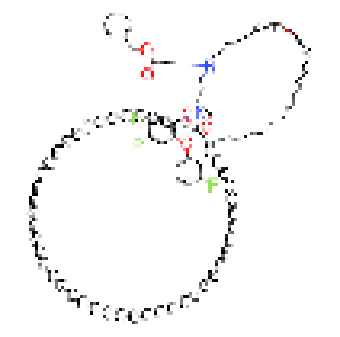 O=C(OCc1ccccc1)N1CCCCCCCCCCCCCCCCCCCCCCCCCCCCCCCCCCCCCCCCC2(CCCCCCCCCCCCCCCCCCCCCCCCCCCCCCCCCCCCCCCCCCCCCC23OCCO3)CN(c2cc(F)c(F)cc2Oc2cccc(F)c2)CCC1